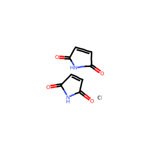 O=C1C=CC(=O)N1.O=C1C=CC(=O)N1.[C]